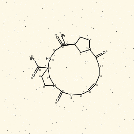 CC(C)N[C@@]12CCN(C1)C(=O)OCC=CCOC(=O)N1CC[C@@](C(=O)C(C)C)(C1)NCC2=O